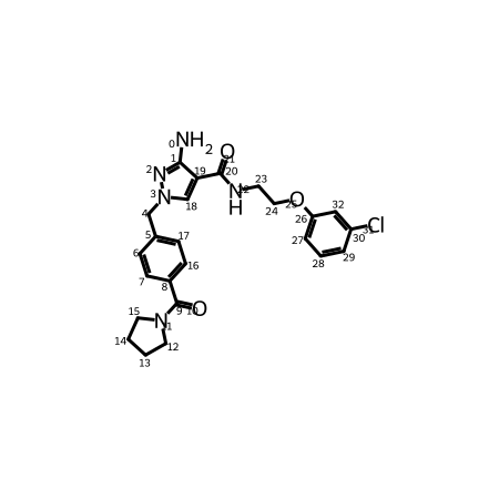 Nc1nn(Cc2ccc(C(=O)N3CCCC3)cc2)cc1C(=O)NCCOc1cccc(Cl)c1